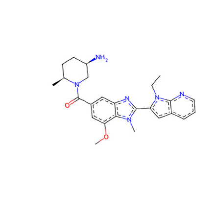 CCn1c(-c2nc3cc(C(=O)N4C[C@H](N)CC[C@@H]4C)cc(OC)c3n2C)cc2cccnc21